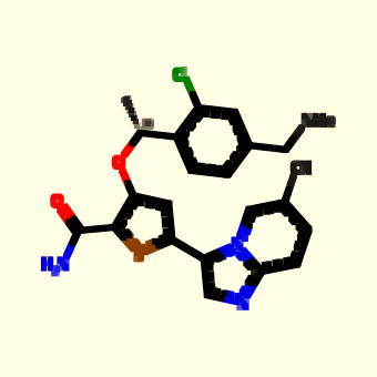 CNCc1ccc([C@@H](C)Oc2cc(-c3cnc4ccc(C#N)cn34)sc2C(N)=O)c(Cl)c1